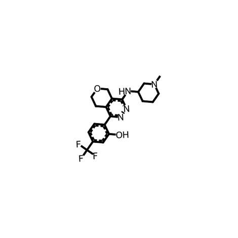 CN1CCCC(Nc2nnc(-c3ccc(C(F)(F)F)cc3O)c3c2COCC3)C1